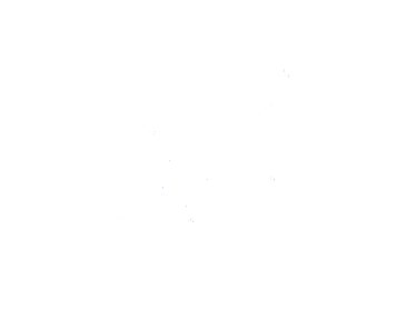 Cc1nc2c(Nc3ccc(-c4cnn(C)c4)cc3N(C)S(C)(=O)=O)cc(N)nc2n1C1CCCCO1